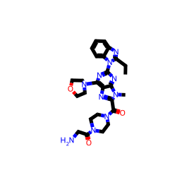 CCc1nc2ccccc2n1-c1nc(N2CCOCC2)c2nc(C(=O)N3CCN(C(=O)CN)CC3)n(C)c2n1